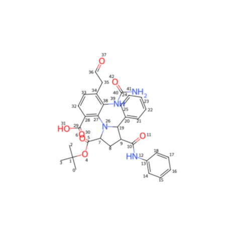 CC(C)(C)OC(=O)C1CC(C(=O)Nc2ccccc2)C(c2ccccc2)N1c1c(C(=O)O)ccc(CC=O)c1NC(N)=O